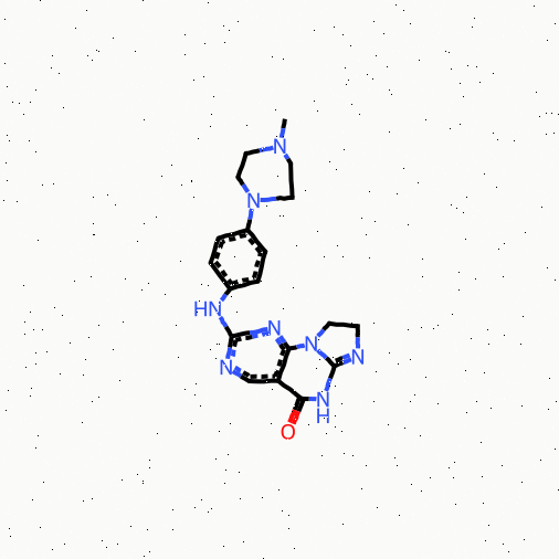 CN1CCN(c2ccc(Nc3ncc4c(n3)N3CCN=C3NC4=O)cc2)CC1